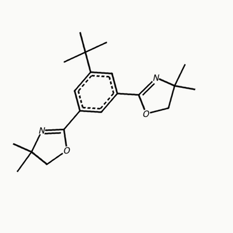 CC1(C)COC(c2cc(C3=NC(C)(C)CO3)cc(C(C)(C)C)c2)=N1